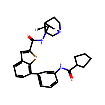 O=C(N[C@H]1CN2CCC1CC2)c1cc2cccc(-c3cccc(NC(=O)C4CCCC4)c3)c2s1